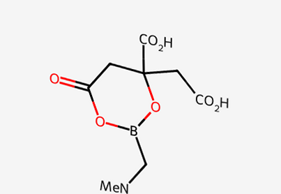 CNCB1OC(=O)CC(CC(=O)O)(C(=O)O)O1